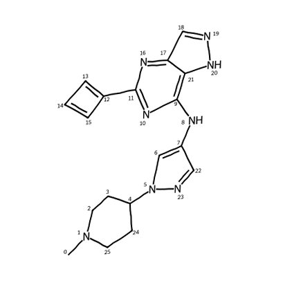 CN1CCC(n2cc(Nc3nc(C4=CC=C4)nc4cn[nH]c34)cn2)CC1